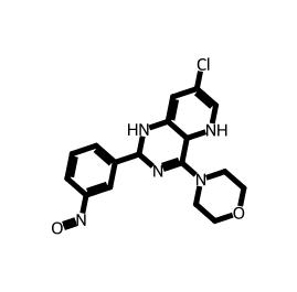 O=Nc1cccc(C2N=C(N3CCOCC3)C3NC=C(Cl)C=C3N2)c1